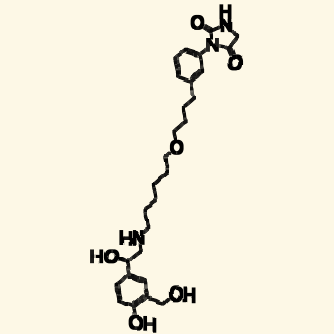 O=C1CNC(=O)N1c1cccc(CCCCOCCCCCCNC[C@H](O)c2ccc(O)c(CO)c2)c1